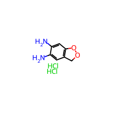 Cl.Cl.Nc1cc2c(cc1N)OOC2